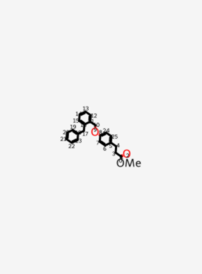 COC(=O)CCc1ccc(OCc2ccccc2Cc2ccccc2)cc1